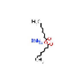 CCCCCCCC(=O)OC(=O)CCCCCCC.N.N